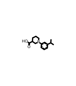 CC(C)c1cccc(N2CCCC(C(=O)O)C2)c1